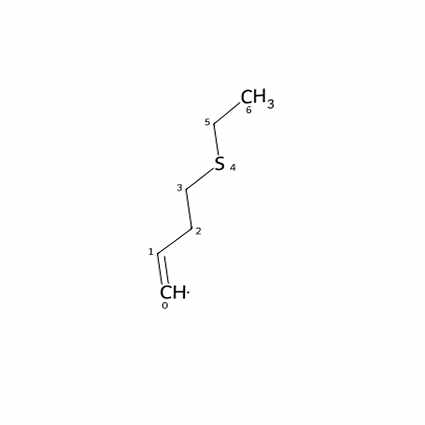 [CH]=CCCSCC